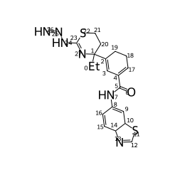 CCC1(C2=CC(C(=O)NC3=CC4SC=NC4C=C3)=CCC2)CCSC(NN=N)=N1